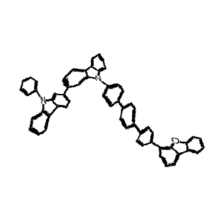 c1ccc(-n2c3ccccc3c3ccc(-c4ccc5c6ccccc6n(-c6ccc(-c7ccc(-c8ccc(-c9cccc%10c9oc9ccccc9%10)cc8)cc7)cc6)c5c4)cc32)cc1